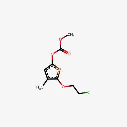 COC(=O)Oc1cc(C)c(OCCCl)s1